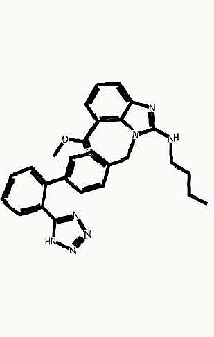 CCCCNc1nc2cccc(C(=O)OC)c2n1Cc1ccc(-c2ccccc2-c2nnn[nH]2)cc1